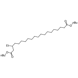 CCCCOC(=O)CCCCCCCCCCCCCCCCC(CC)CC(=O)OCCCC